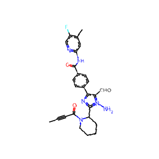 CC#CC(=O)N1CCCCC1c1nc(-c2ccc(C(=O)Nc3cc(C)c(F)cn3)cc2)c(C=O)n1N